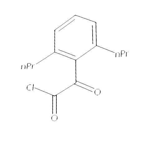 CCCc1cccc(CCC)c1C(=O)C(=O)Cl